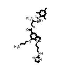 Cc1cc(C)c(S(=O)(=O)NC(CNC(=O)c2cc(OCCCN)c3c(cnn3CCCNc3ncc[nH]3)c2)C(=O)O)c(C)c1